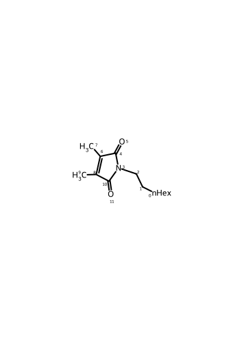 CCCCCCCCN1C(=O)C(C)=C(C)C1=O